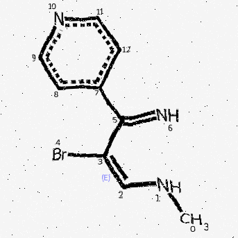 CN/C=C(/Br)C(=N)c1ccncc1